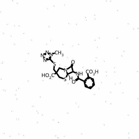 Cn1nnnc1SCC1(C(=O)O)CS[C@@H]2C(NC(=O)c3ccccc3C(=O)O)C(=O)N2C1